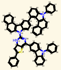 C1=C(c2ccccc2)SC2=C(c3ccc4c(c3)c3ccccc3n4-c3ccccc3)N=C(n3c4ccc(-c5cccc6c5c5c7ccccc7ccc5n6-c5ccccc5)cc4c4c5ccccc5ccc43)NC12